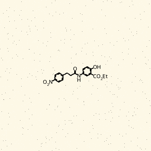 CCOC(=O)c1cc(NC(=O)CCc2ccc([N+](=O)[O-])cc2)ccc1O